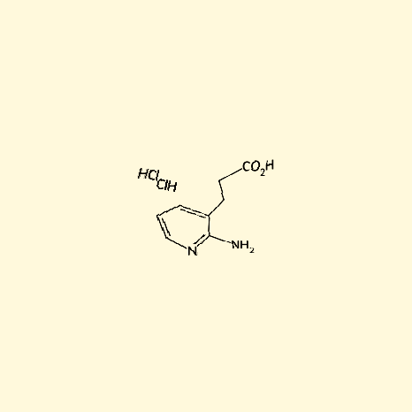 Cl.Cl.Nc1ncccc1CCC(=O)O